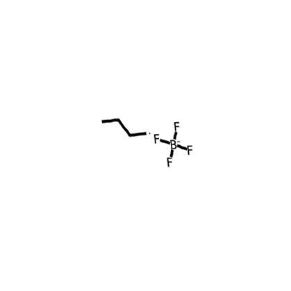 F[B-](F)(F)F.[CH2]CCC